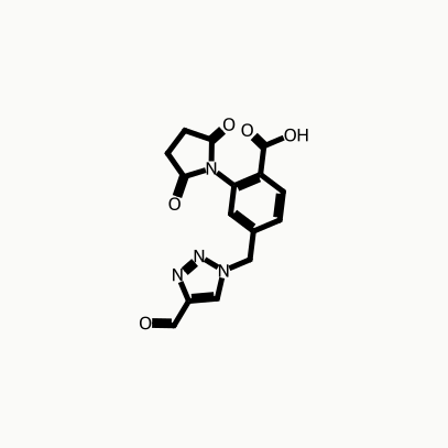 O=Cc1cn(Cc2ccc(C(=O)O)c(N3C(=O)CCC3=O)c2)nn1